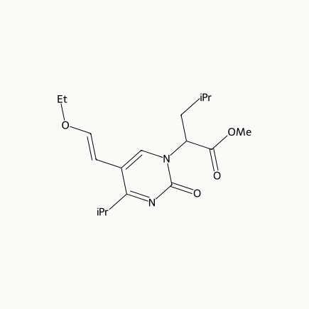 CCOC=Cc1cn(C(CC(C)C)C(=O)OC)c(=O)nc1C(C)C